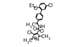 CCOc1ccc(Cl)cc1-c1ccc([C@@H](C)NS(=O)(=O)c2c(C)nn(C)c2Cl)cc1